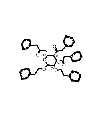 O=C(Cc1ccccc1)C[C@H]1OC(OCCc2ccccc2)[C@@H](OCCc2ccccc2)[C@@H](C(=O)Cc2ccccc2)[C@@H]1C(=O)Cc1ccccc1